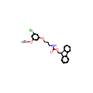 CCCCOc1cc(Br)cc(OCCCNC(=O)OCC2c3ccccc3-c3ccccc32)c1